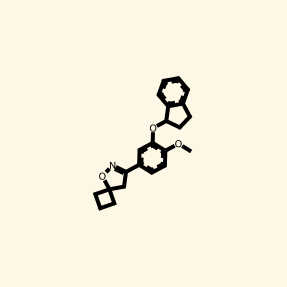 COc1ccc(C2=NOC3(CCC3)C2)cc1OC1CCc2ccccc21